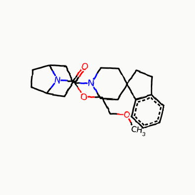 COCCOC(=O)N1C2CCC1CC(N1CCC3(CCc4ccccc43)CC1)C2